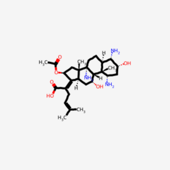 CC(=O)O[C@H]1C[C@@]2(C)[C@@H](C[C@@H](O)[C@H]3[C@@]4(C)[C@@H](N)C[C@@H](O)[C@@H](N)[C@@H]4CC[C@@]32N)/C1=C(\CC=C(C)C)C(=O)O